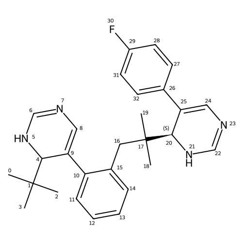 CC(C)(C)C1NC=NC=C1c1ccccc1CC(C)(C)[C@@H]1NC=NC=C1c1ccc(F)cc1